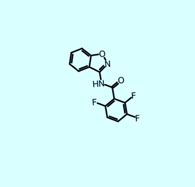 O=C(Nc1noc2ccccc12)c1c(F)ccc(F)c1F